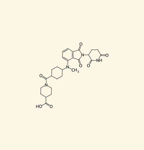 CN(c1cccc2c1C(=O)N(C1CCC(=O)NC1=O)C2=O)C1CCC(C(=O)N2CCC(C(=O)O)CC2)CC1